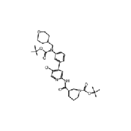 CC(C)(C)OC(=O)N1CCC[C@@H](C(=O)Nc2cc(-c3cccc(N(CC4CCOCC4)C(=O)OC(C)(C)C)c3)c(Cl)cn2)C1